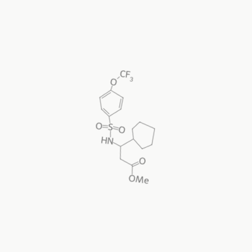 COC(=O)CC(NS(=O)(=O)c1ccc(OC(F)(F)F)cc1)C1CCCCC1